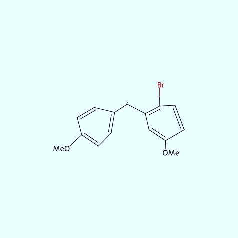 COc1ccc([CH]c2cc(OC)ccc2Br)cc1